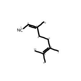 CC(=CC#N)CCC(C)=C(C)C